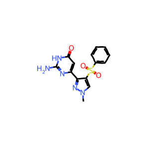 Cn1cc(S(=O)(=O)c2ccccc2)c(-c2cc(=O)[nH]c(N)n2)n1